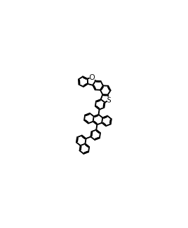 c1cc(-c2cccc3ccccc23)cc(-c2c3ccccc3c(-c3ccc4c(c3)sc3ccc5cc6oc7ccccc7c6cc5c34)c3ccccc23)c1